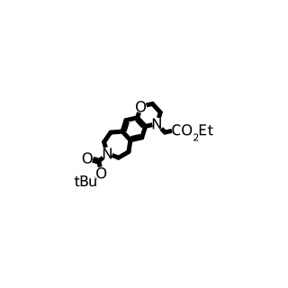 CCOC(=O)CN1CCOc2cc3c(cc21)CCN(C(=O)OC(C)(C)C)CC3